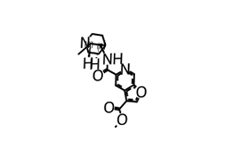 COC(=O)c1coc2cnc(C(=O)N[C@@H]3C4CCN(CC4)[C@H]3C)cc12